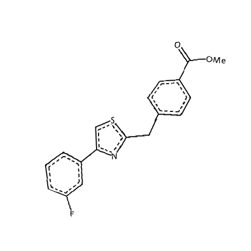 COC(=O)c1ccc(Cc2nc(-c3cccc(F)c3)cs2)cc1